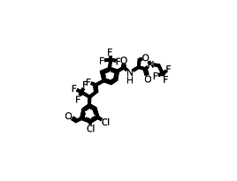 O=Cc1cc(C(/C=C(\F)c2ccc(C(=O)NC3CON(CC(F)(F)F)C3=O)c(C(F)(F)F)c2)C(F)(F)F)cc(Cl)c1Cl